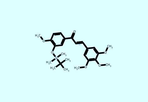 COc1ccc(C(=O)/C=C/c2cc(OC)c(OC)c(OC)c2)cc1O[Si](C)(C)C(C)(C)C